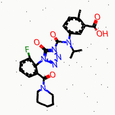 Cc1ccc(N(C(=O)n2nnn(-c3c(F)cccc3C(=O)N3CCCCC3)c2=O)C(C)C)cc1C(=O)O